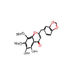 COc1c(OC)c(OC)c2c(=O)cc(Cc3ccc4c(c3)OCO4)oc2c1OC